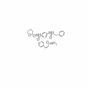 NC(=O)/C=C\c1ccccc1.O=C(CCc1ccccc1)Nc1ccc(C(=O)NO[C@H]2CCCCO2)cc1